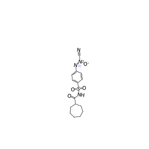 N#C/[N+]([O-])=N/c1ccc(S(=O)(=O)NC(=O)C2CCCCCC2)cc1